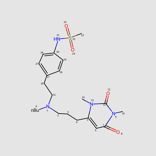 CCCCN(CCCc1cc(=O)n(C)c(=O)n1C)CCc1ccc(NS(C)(=O)=O)cc1